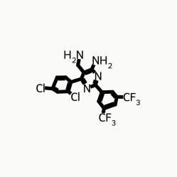 NCc1c(N)nc(-c2cc(C(F)(F)F)cc(C(F)(F)F)c2)nc1-c1ccc(Cl)cc1Cl